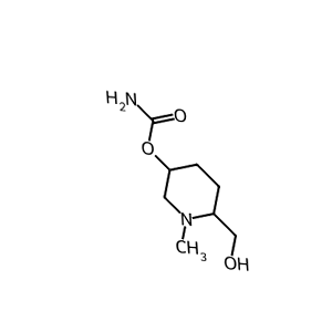 CN1CC(OC(N)=O)CCC1CO